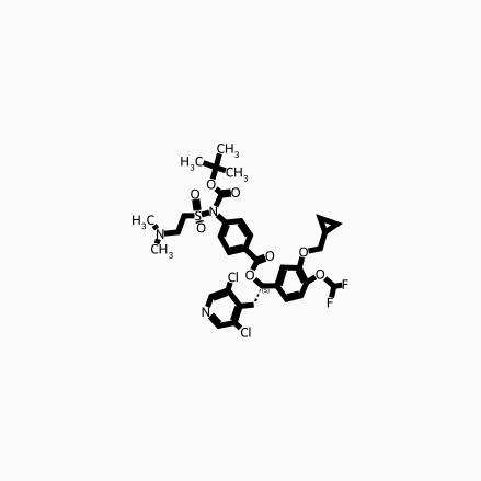 CN(C)CCS(=O)(=O)N(C(=O)OC(C)(C)C)c1ccc(C(=O)O[C@@H](Cc2c(Cl)cncc2Cl)c2ccc(OC(F)F)c(OCC3CC3)c2)cc1